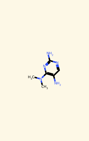 CN(C)c1nc(N)ncc1N